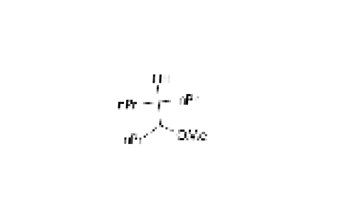 CCCC(OC)C(O)(CCC)CCC